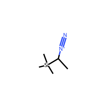 CC([N+]#N)[Si](C)(C)C